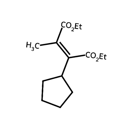 CCOC(=O)C(C)=C(C(=O)OCC)C1CCCC1